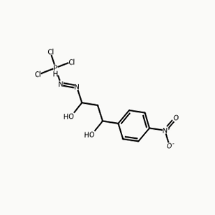 O=[N+]([O-])c1ccc(C(O)CC(O)N=N[PH](Cl)(Cl)Cl)cc1